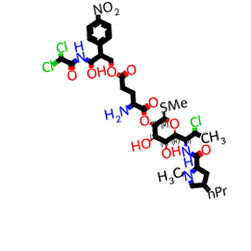 CCCC1CC(C(=O)N[C@H](C(C)Cl)[C@H]2O[C@H](SC)[C@H](OC(=O)C(N)CCC(=O)OCC(c3ccc([N+](=O)[O-])cc3)C(O)NC(=O)C(Cl)Cl)[C@@H](O)[C@H]2O)N(C)C1